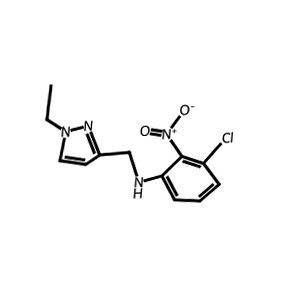 CCn1ccc(CNc2cccc(Cl)c2[N+](=O)[O-])n1